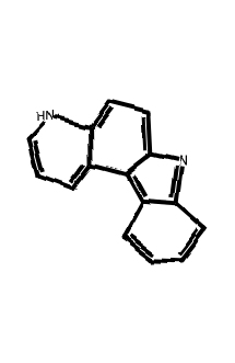 [c]1cc[nH]c2ccc3nc4ccccc4c3c12